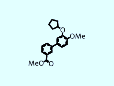 COC(=O)c1cccc(-c2ccc(OC)c(OC3CCCC3)c2)c1